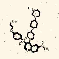 CCCCCCCCCCCCOc1ccc(S(=O)(=O)c2cnc3ccc([S+](C)[O-])cc3c2N2CCC(N3CCC(N4CCC[C@H](O)C4)CC3)CC2)cc1